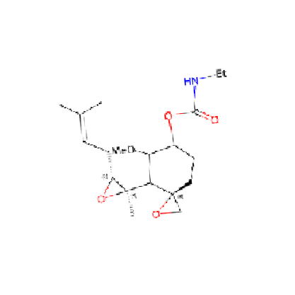 CCNC(=O)OC1CC[C@]2(CO2)C([C@@]2(C)O[C@@H]2CC=C(C)C)C1OC